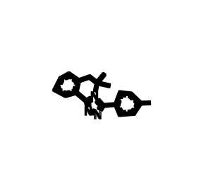 Cc1ccc(-c2nnc3n2C(C)(C)Cc2ccccc2-3)cc1